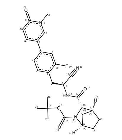 Cn1cc(-c2ccc(C[C@@H](C#N)NC(=O)[C@@H]3[C@H]4CC[C@H](C4)N3C(=O)OC(C)(C)C)c(F)c2)ccc1=O